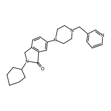 O=C1c2cc(N3CCN(Cc4cccnc4)CC3)ccc2CN1C1CCCCC1